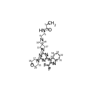 C=CC(=O)NCCN1CC2(C1)CN(c1nc(N3CCOCC3)nc(-n3c(C(F)F)nc4ccccc43)n1)C2